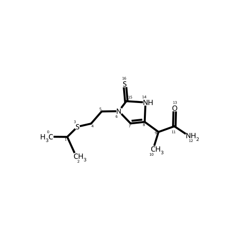 CC(C)SCCn1cc(C(C)C(N)=O)[nH]c1=S